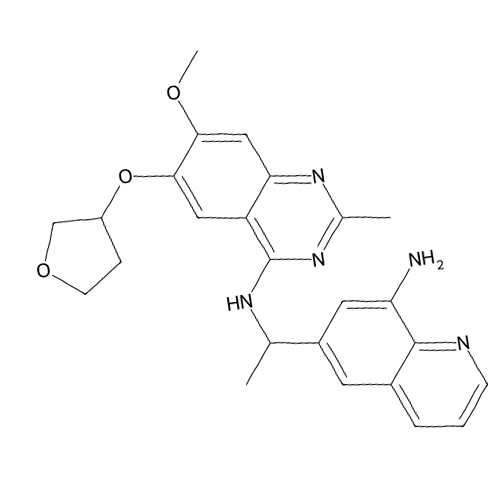 COc1cc2nc(C)nc(NC(C)c3cc(N)c4ncccc4c3)c2cc1OC1CCOC1